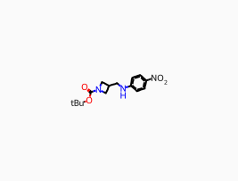 CC(C)(C)OC(=O)N1CC(CNc2ccc([N+](=O)[O-])cc2)C1